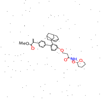 C=C(C(=O)OC)c1ccc(-c2ccc(OCCC(=O)NOC3CCCCO3)cc2C23CC4CC(CC(C4)C2)C3)cc1